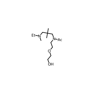 CCN(C)CC(C)(C)CN(CCOCCO)C(C)=O